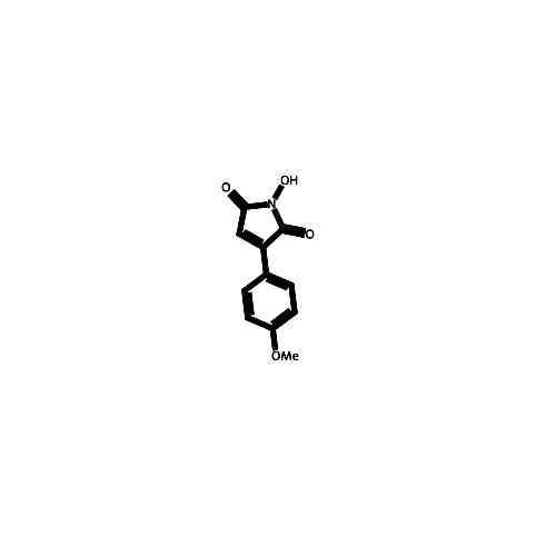 COc1ccc(C2=CC(=O)N(O)C2=O)cc1